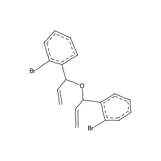 C=CC(OC(C=C)c1ccccc1Br)c1ccccc1Br